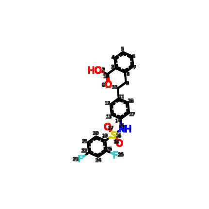 O=C(O)c1ccccc1CCc1ccc(NS(=O)(=O)c2ccc(F)cc2F)cc1